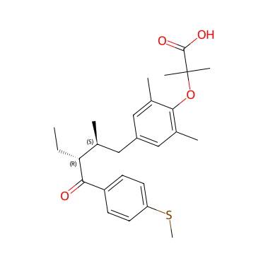 CC[C@@H](C(=O)c1ccc(SC)cc1)[C@@H](C)Cc1cc(C)c(OC(C)(C)C(=O)O)c(C)c1